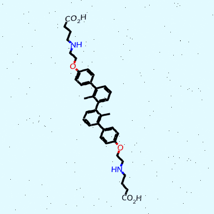 Cc1c(-c2ccc(OCCNCCCC(=O)O)cc2)cccc1-c1cccc(-c2ccc(OCCNCCCC(=O)O)cc2)c1C